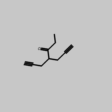 C#CCC(CC#C)C(=O)CC